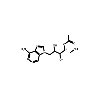 CC(=O)O[C@H](CO)C(O)C(O)Cn1cnc2c(N)nncc21